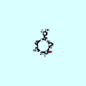 CCC1/C=C(\C)C(O)C(C)CC(OC)C2OC(O)(C(=O)C(=O)N3CCCCC3C(=O)OC(C(C)=CC3CCC(O)C(OC)C3)C(C)CCC1=O)C(C)CC2OC